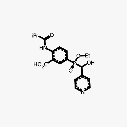 CCOP(=O)(c1ccc(NC(=O)C(C)C)c(C(=O)O)c1)C(O)c1ccncc1